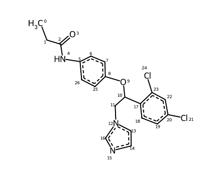 CCC(=O)Nc1ccc(OC(Cn2ccnc2)c2ccc(Cl)cc2Cl)cc1